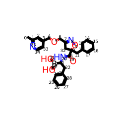 Cc1cc(COCC2=NOC(Cc3ccccc3)(C(=O)NC(Cc3ccccc3)B(O)O)C2)ccn1